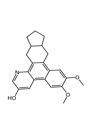 COc1cc2c3c(c4ncc(O)cc4c2cc1OC)CC1CCCC1C3